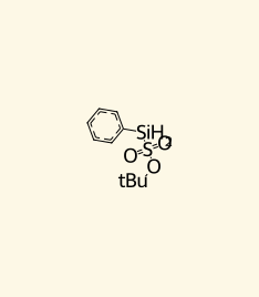 CC(C)(C)OS(=O)(=O)[SiH2]c1ccccc1